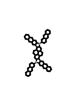 c1ccc2cc3cc(B4c5cc6cc7ccccc7cc6cc5-c5c4cc4ccc6c7c(cc8ccc5c4c86)B(c4ccc5cc6ccccc6cc5c4)c4cc5cc6ccccc6cc5cc4-7)ccc3cc2c1